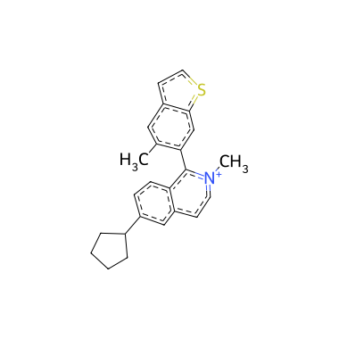 Cc1cc2ccsc2cc1-c1c2ccc(C3CCCC3)cc2cc[n+]1C